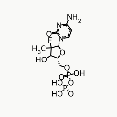 CC1(F)C(O)[C@@H](COP(=O)(O)OP(=O)(O)O)O[C@H]1n1ccc(N)nc1=O